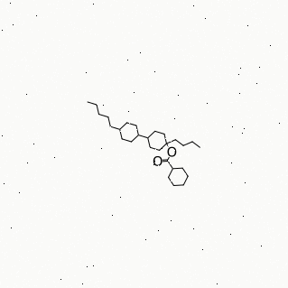 CCCCCC1CCC(C2CCC(CCCC)(OC(=O)C3CCCCC3)CC2)CC1